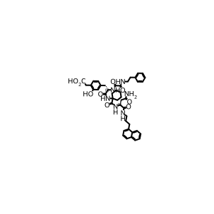 NC(=O)C[C@H](NC(=O)C1(NC(=O)[C@H](Cc2ccc(CC(=O)O)c(O)c2)NC(=O)C(=O)NCCc2ccccc2)CCCCC1)C(=O)NCCCc1cccc2ccccc12